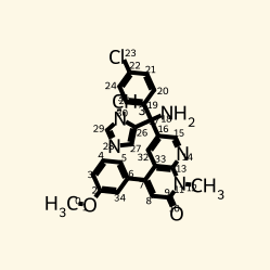 COc1cccc(-c2cc(=O)n(C)c3ncc(C(N)(c4ccc(Cl)cc4)c4cncn4C)cc23)c1